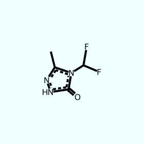 Cc1n[nH]c(=O)n1C(F)F